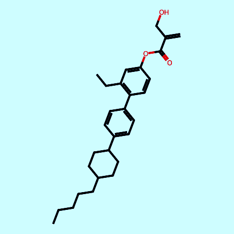 C=C(CO)C(=O)Oc1ccc(-c2ccc(C3CCC(CCCCC)CC3)cc2)c(CC)c1